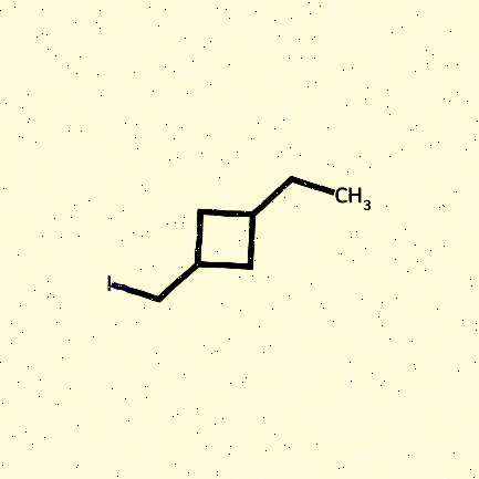 CCC1CC(CI)C1